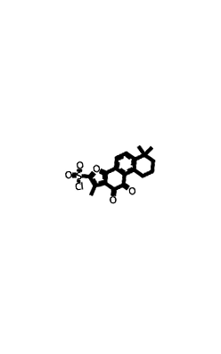 Cc1c(S(=O)(=O)Cl)oc2c1C(=O)C(=O)c1c-2ccc2c1CCCC2(C)C